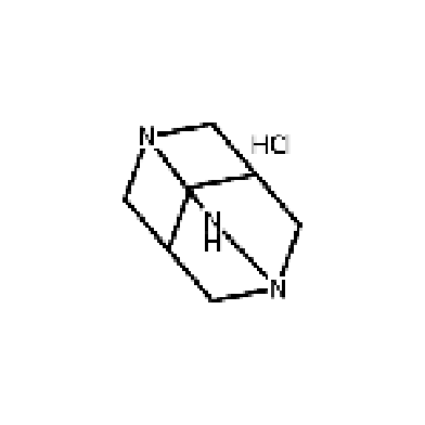 C1C2CN3CC1CN(C2)N3.Cl